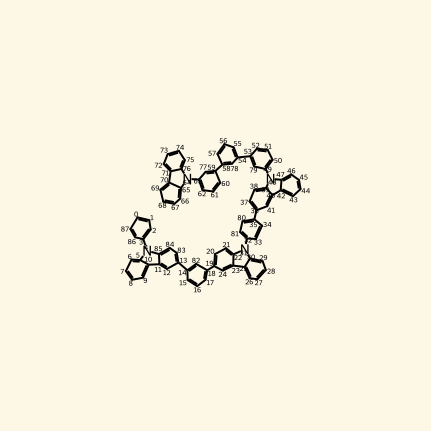 c1ccc(-n2c3ccccc3c3cc(-c4cccc(-c5ccc6c(c5)c5ccccc5n6-c5ccc(-c6ccc7c(c6)c6ccccc6n7-c6cccc(-c7cccc(-c8cccc(-n9c%10ccccc%10c%10ccccc%109)c8)c7)c6)cc5)c4)ccc32)cc1